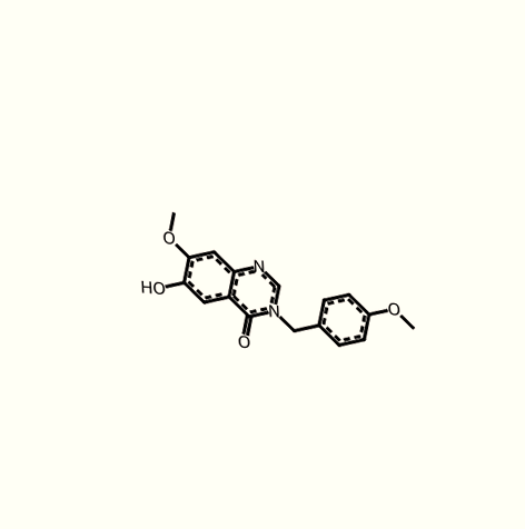 COc1ccc(Cn2cnc3cc(OC)c(O)cc3c2=O)cc1